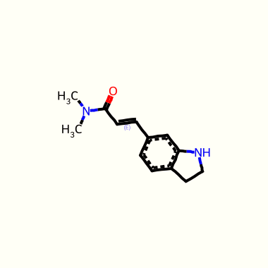 CN(C)C(=O)/C=C/c1ccc2c(c1)NCC2